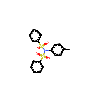 Cc1ccc(N(S(=O)(=O)c2ccccc2)S(=O)(=O)c2ccccc2)cc1